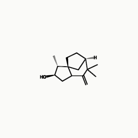 C=C1C2C[C@@H](O)[C@H](C)[C@@]23CC[C@H](C3)C1(C)C